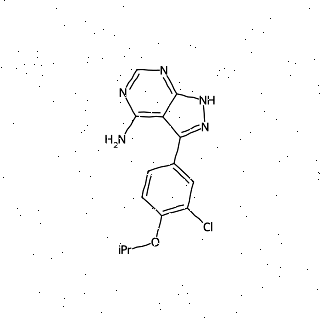 CC(C)Oc1ccc(-c2n[nH]c3ncnc(N)c23)cc1Cl